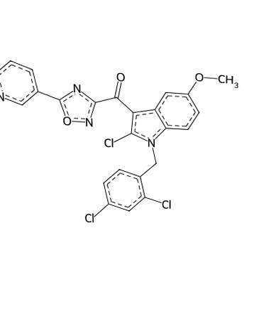 COc1ccc2c(c1)c(C(=O)c1noc(-c3cccnc3)n1)c(Cl)n2Cc1ccc(Cl)cc1Cl